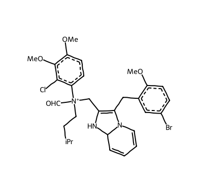 COc1ccc(Br)cc1CC1=C(C[N+](C=O)(CCC(C)C)c2ccc(OC)c(OC)c2Cl)NC2C=CC=CN12